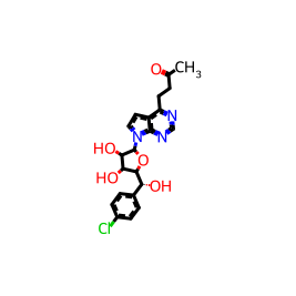 CC(=O)CCc1ncnc2c1ccn2C1OC([C@H](O)c2ccc(Cl)cc2)C(O)C1O